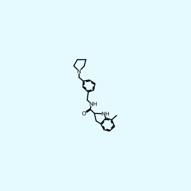 Cc1cccc2c1NC(C(=O)NCc1cccc(CN3CCCC3)c1)C2